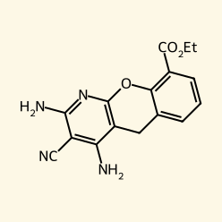 CCOC(=O)c1cccc2c1Oc1nc(N)c(C#N)c(N)c1C2